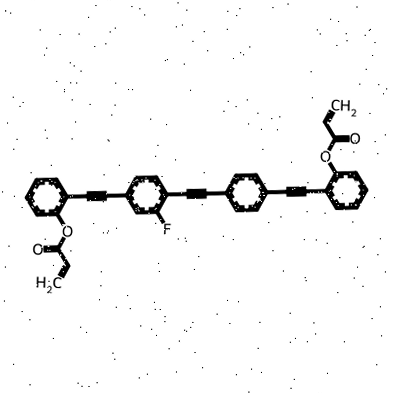 C=CC(=O)Oc1ccccc1C#Cc1ccc(C#Cc2ccc(C#Cc3ccccc3OC(=O)C=C)cc2F)cc1